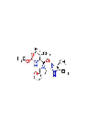 COC(=O)N[C@H](C(=O)N1C[C@]2(CCCO2)C[C@H]1c1nc(C)c(C)[nH]1)C(C)C